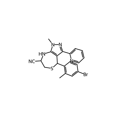 Cc1cc(Br)ccc1C1SCC(C#N)Nc2c1c(-c1ccccn1)nn2C